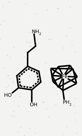 NCCc1ccc(O)c(O)c1.P[C]12[CH]3[CH]4[CH]5[CH]1[Fe]45321678[CH]2[CH]1[CH]6[CH]7[CH]28